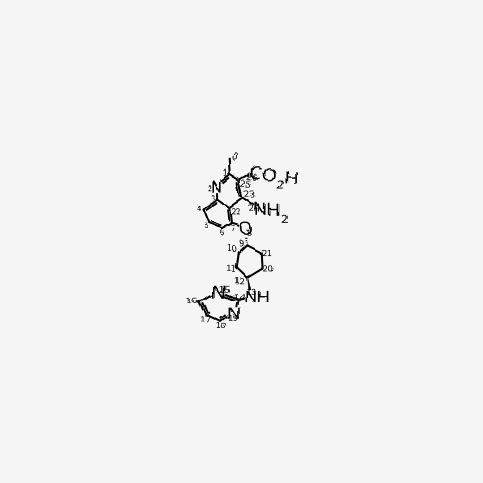 Cc1nc2cccc(O[C@H]3CC[C@H](Nc4ncccn4)CC3)c2c(N)c1C(=O)O